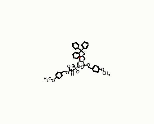 COc1ccc(COC(=O)NS(=O)(=O)NC[C@@H]2C[C@H](SC(c3ccccc3)(c3ccccc3)c3ccccc3)CN2C(=O)OCc2ccc(OC)cc2)cc1